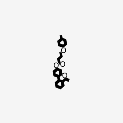 C=C1Oc2cc(OC(=O)CCCOc3ccc(C)cc3)ccc2-c2ccccc21